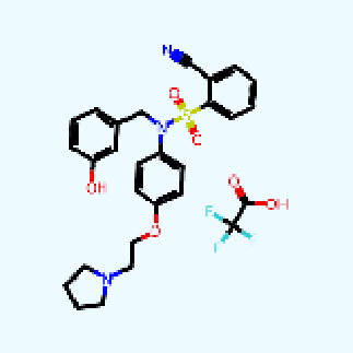 N#Cc1ccccc1S(=O)(=O)N(Cc1cccc(O)c1)c1ccc(OCCN2CCCC2)cc1.O=C(O)C(F)(F)F